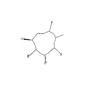 CC1C(F)C[C@H](F)C(F)C(F)C1F